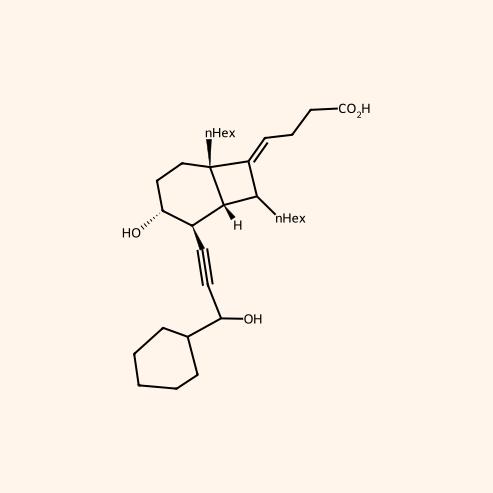 CCCCCCC1C(=CCCC(=O)O)[C@@]2(CCCCCC)CC[C@@H](O)[C@H](C#CC(O)C3CCCCC3)[C@@H]12